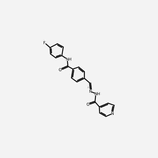 O=C(N/N=C/c1ccc(C(=O)Nc2ccc(F)cc2)cc1)c1ccncc1